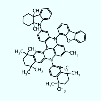 Cc1cc2c3c(c1)N(c1cccc4c1oc1ccccc14)c1cc(N4c5ccccc5C5(C)CCCCC45C)ccc1B3c1cc3c(cc1N2c1ccc2c(c1)C(C)(C)CCC2(C)C)C(C)(C)CCC3(C)C